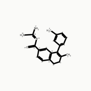 CC1=C(c2cccc(C)c2)c2cc(C(=O)N=C(N)N)ccc2CC1